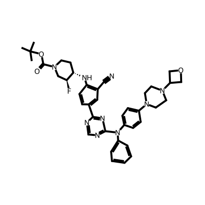 CC(C)(C)OC(=O)N1CC[C@H](Nc2ccc(-c3ncnc(N(c4ccccc4)c4ccc(N5CCN(C6COC6)CC5)cc4)n3)cc2C#N)[C@@H](F)C1